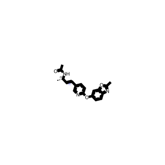 CC(=O)N[C@@H](C)/C=C/c1ccc(Oc2ccc3nc(C)oc3c2)nc1